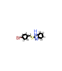 Brc1ccc(CSc2nc3ccccc3[nH]2)cc1